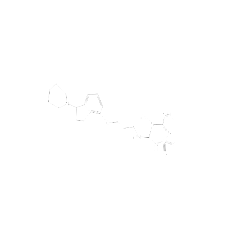 CC(C)N1C(N)=NS(=O)(=O)NC1NCCCOc1cccc2c1CCC2N1CCCCC1